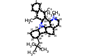 Cc1c2ccccc2c(C)c2c1c1c3c(ccc4c5c(CC(C)(C)C)cccc5n2c43)cc[n+]1C